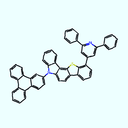 c1ccc(-c2cc(-c3cccc4c3sc3c4ccc4c3c3ccccc3n4-c3ccc4c5ccccc5c5ccccc5c4c3)cc(-c3ccccc3)n2)cc1